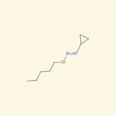 CCCCCO/N=C/C1CC1